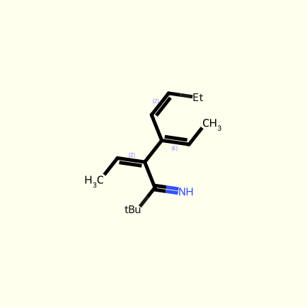 C/C=C(C(=N)C(C)(C)C)/C(/C=C\CC)=C/C